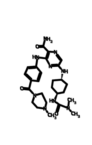 CN1CCN(C(=O)c2ccc(Nc3nc(N[C@H]4CC[C@H](NC(=O)N(C)C)CC4)cnc3C(N)=O)cc2)CC1